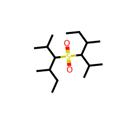 CCC(C)C(C(C)C)S(=O)(=O)C(C(C)C)C(C)CC